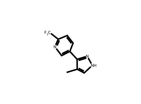 Cc1c[nH]nc1-c1ccc(C(F)(F)F)nc1